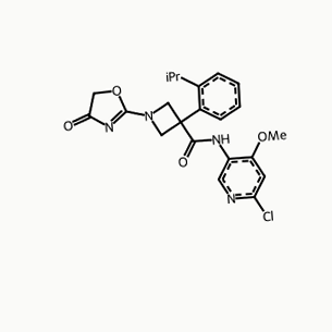 COc1cc(Cl)ncc1NC(=O)C1(c2ccccc2C(C)C)CN(C2=NC(=O)CO2)C1